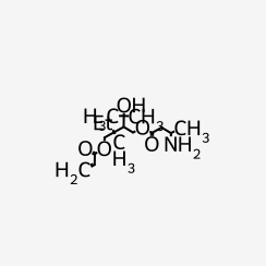 C=CC(=O)OCC(C)(CC)C(COC(=O)CC(C)N)C(C)(C)O